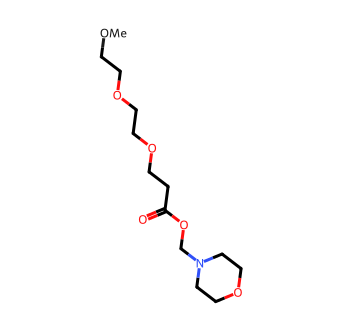 COCCOCCOCCC(=O)OCN1CCOCC1